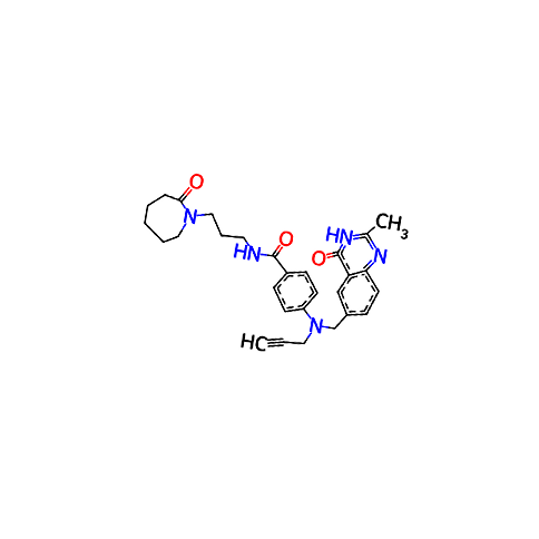 C#CCN(Cc1ccc2nc(C)[nH]c(=O)c2c1)c1ccc(C(=O)NCCCN2CCCCCC2=O)cc1